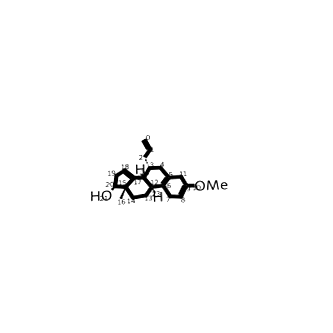 C=CC[C@@H]1CC2=C(CC=C(OC)C2)[C@H]2CC[C@@]3(C)C(=CC[C@@H]3O)[C@H]12